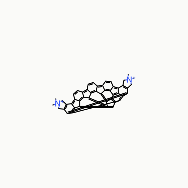 C[N+]1(C)Cc2c(c3c4c5c(c6c7ccc8c9ccc%10c%11ccc%12c2c2c3c3c4c6c4c7c8c6c9c%10c7c%11c%12c2c2c7c6c4c32)C[N+](C)(C)C5)C1